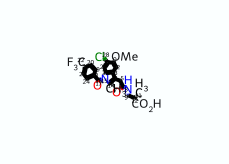 COc1cc2c(CC(=O)NCC(C)C(=O)O)c(C)n(C(=O)c3ccc(C(F)(F)F)cc3)c2cc1Cl